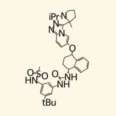 CC(C)N1CCCC1(C)c1nnc2ccc(O[C@@H]3CC[C@H](NC(=O)Nc4cc(NS(C)(=O)=O)cc(C(C)(C)C)c4)c4ccccc43)cn12